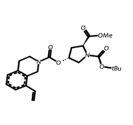 C=Cc1cccc2c1CN(C(=O)O[C@@H]1C[C@@H](C(=O)OC)N(C(=O)OC(C)(C)C)C1)CC2